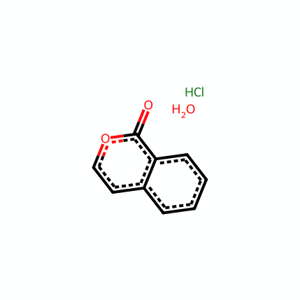 Cl.O.O=c1occc2ccccc12